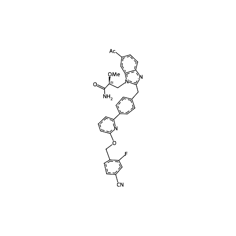 CO[C@@H](Cn1c(Cc2ccc(-c3cccc(OCc4ccc(C#N)cc4F)n3)cc2)nc2ccc(C(C)=O)cc21)C(N)=O